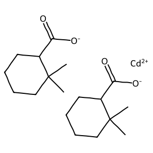 CC1(C)CCCCC1C(=O)[O-].CC1(C)CCCCC1C(=O)[O-].[Cd+2]